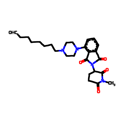 CN1C(=O)CCC(N2C(=O)c3cccc(N4CCN(CCCCCCCC=O)CC4)c3C2=O)C1=O